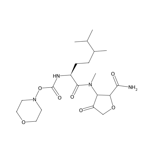 CC(C)C(C)CC[C@H](NC(=O)ON1CCOCC1)C(=O)N(C)C1C(=O)COC1C(N)=O